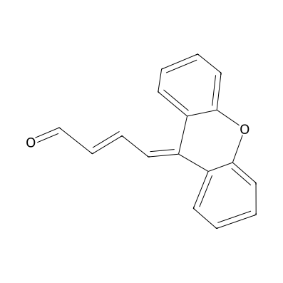 O=C/C=C/C=C1c2ccccc2Oc2ccccc21